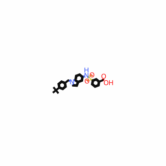 CC(C)(C)c1ccc(Cn2ccc3cc(NS(=O)(=O)c4cccc(C(=O)O)c4)ccc32)cc1